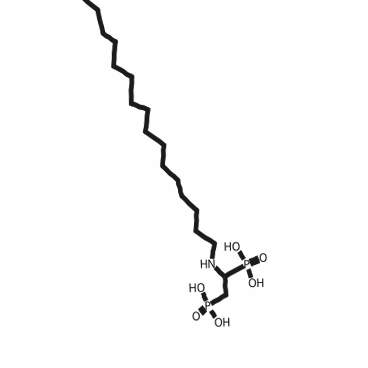 CCCCCCCCCCCCCCCCNC(CP(=O)(O)O)P(=O)(O)O